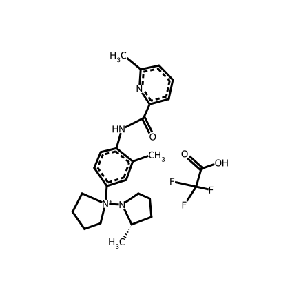 Cc1cccc(C(=O)Nc2ccc([N+]3(N4CCC[C@@H]4C)CCCC3)cc2C)n1.O=C(O)C(F)(F)F